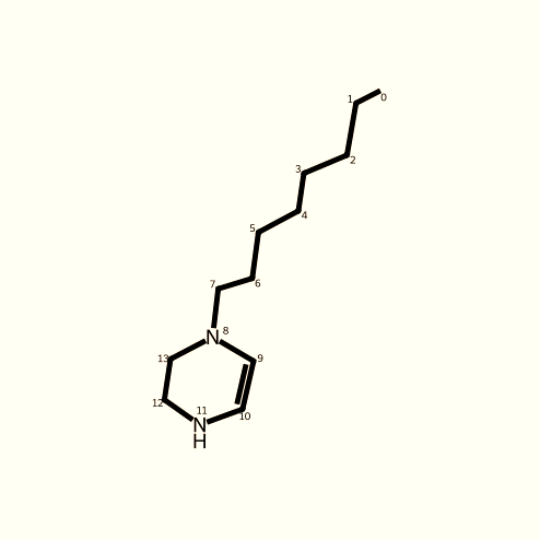 CCCCCCCCN1C=CNCC1